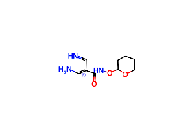 N=C/C(=C\N)C(=O)NOC1CCCCO1